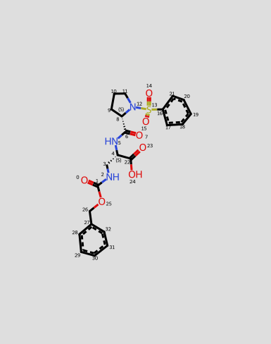 O=C(NC[C@H](NC(=O)[C@@H]1CCCN1S(=O)(=O)c1ccccc1)C(=O)O)OCc1ccccc1